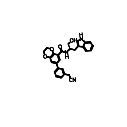 N#CCc1cccc(-c2cc3c(c(C(=O)N[C@@H](CO)Cc4c[nH]c5ccccc45)c2)OCCO3)c1